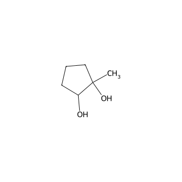 CC1(O)CCCC1O